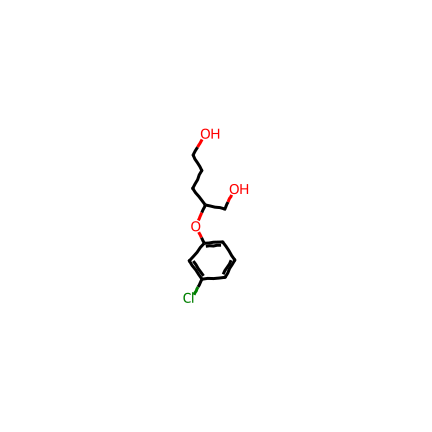 OCCCC(CO)Oc1cccc(Cl)c1